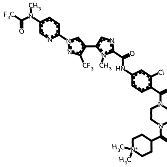 CN(C(=O)C(F)(F)F)c1ccc(-n2cc(-c3cnc(C(=O)Nc4ccc(C(=O)N5CCN(C(=O)C6CC[N+](C)(C)CC6)CC5)c(Cl)c4)n3C)c(C(F)(F)F)n2)nc1